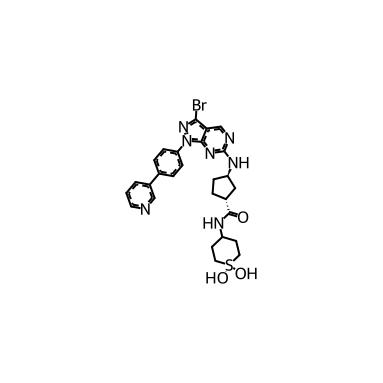 O=C(NC1CCS(O)(O)CC1)[C@@H]1CC[C@@H](Nc2ncc3c(Br)nn(-c4ccc(-c5cccnc5)cc4)c3n2)C1